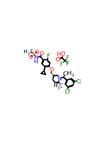 CC(c1cc(Cl)cc(Cl)c1)N1C[C@H](COc2cc(F)c(C(=O)NS(C)(=O)=O)cc2C2CC2)CC[C@H]1C.O=C(O)C(F)(F)F